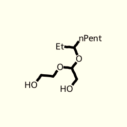 CCCCCC(CC)OC(CO)OCCO